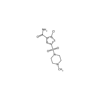 CN1CCN(S(=O)(=O)c2cc(C(N)=O)c(Cl)s2)CC1